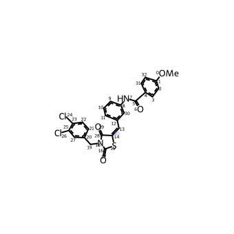 COc1ccc(C(=O)Nc2cccc(/C=C3/SC(=O)N(Cc4ccc(Cl)c(Cl)c4)C3=O)c2)cc1